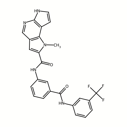 Cn1c(C(=O)Nc2cccc(C(=O)Nc3cccc(C(F)(F)F)c3)c2)cc2cnc3[nH]ccc3c21